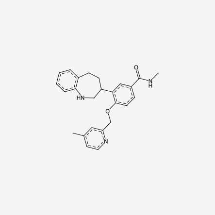 CNC(=O)c1ccc(OCc2cc(C)ccn2)c(C2CCc3ccccc3NC2)c1